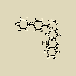 C=C(c1ccc(N2CCOCC2)cc1)c1ccc2c(c1)Nc1ccccc1S2